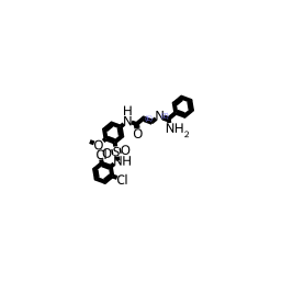 COc1ccc(NC(=O)/C=C/N=C(\N)c2ccccc2)cc1S(=O)(=O)Nc1c(Cl)cccc1Cl